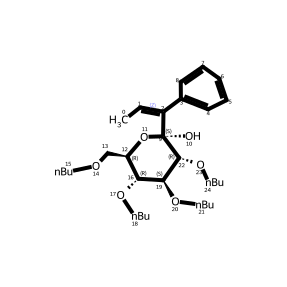 C/C=C(/c1ccccc1)[C@]1(O)O[C@H](COCCCC)[C@@H](OCCCC)[C@H](OCCCC)[C@H]1OCCCC